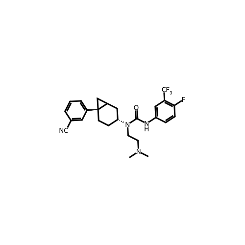 CN(C)CCN(C(=O)Nc1ccc(F)c(C(F)(F)F)c1)[C@@H]1CC[C@]2(c3cccc(C#N)c3)CC2C1